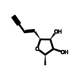 C#C/C=C/[C@H]1O[C@@H](C)C(O)[C@H]1O